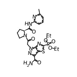 CCOP(=O)(OCC)c1nc2c(s1)c(C(N)=O)nn2CC(=O)N1CCC[C@H]1C(=O)Nc1cccc(C)n1